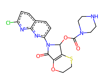 O=C(OC1C2=C(OCCS2)C(=O)N1c1ccc2ccc(Cl)nc2n1)N1CCNCC1